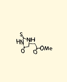 COC(=O)Cc1cc(=O)[nH]c(=S)[nH]1